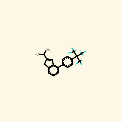 CC(C)C1=Cc2c(cccc2-c2ccc(C(C(F)(F)F)(C(F)(F)F)C(F)(F)F)cc2)[CH]1